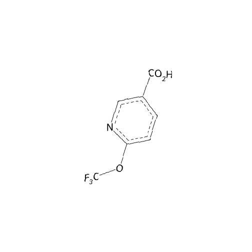 O=C(O)c1ccc(OC(F)(F)F)nc1